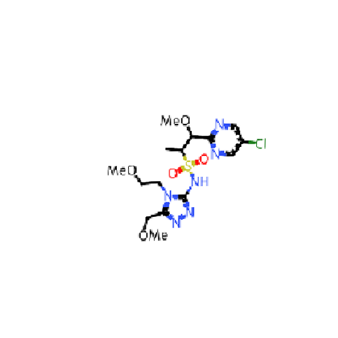 COCCn1c(COC)nnc1NS(=O)(=O)C(C)C(OC)c1ncc(Cl)cn1